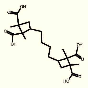 CC1(C(=O)O)CC(CCCCC2CC(C)(C(=O)O)C2(C)C(=O)O)C1(C)C(=O)O